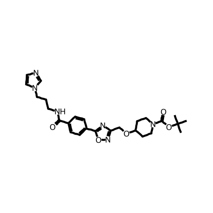 CC(C)(C)OC(=O)N1CCC(OCc2noc(-c3ccc(C(=O)NCCCn4ccnc4)cc3)n2)CC1